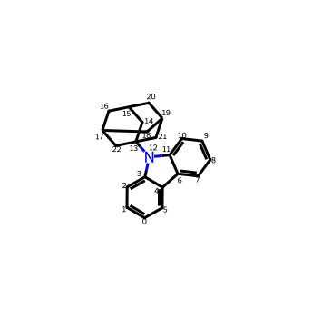 c1ccc2c(c1)c1ccccc1n2C12CC3CC(CC(C3)C1)C2